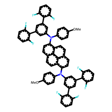 COc1ccc(N(c2cc(-c3c(F)cccc3F)cc(-c3c(F)cccc3F)c2)c2ccc3ccc4c(N(c5ccc(OC)cc5)c5cc(-c6c(F)cccc6F)cc(-c6c(F)cccc6F)c5)ccc5ccc2c3c54)cc1